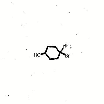 NC1(Br)CCC(O)CC1